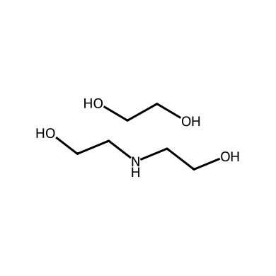 OCCNCCO.OCCO